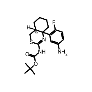 CC(C)(C)OC(=O)NC1=NC2(c3cc(N)ccc3F)CCCC[C@H]2CS1